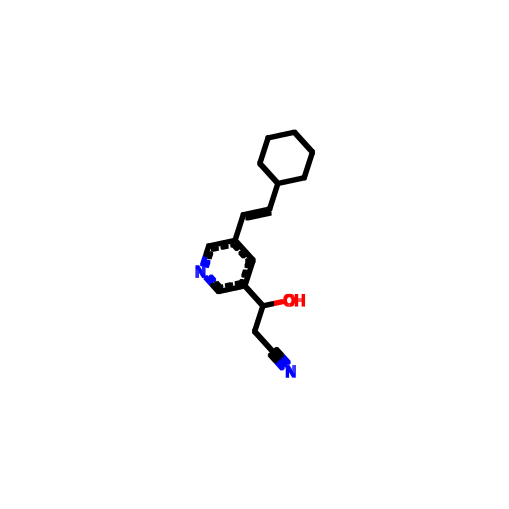 N#CCC(O)c1cncc(/C=C/C2CCCCC2)c1